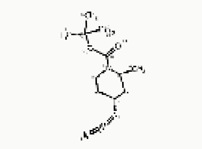 C[C@H]1C[C@@H](N=[N+]=[N-])CCN1C(=O)OC(C)(C)C